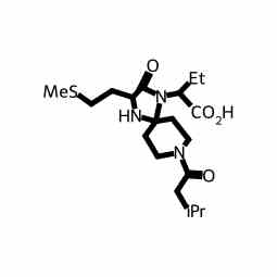 CCC(C(=O)O)N1C(=O)C(CCSC)NC12CCN(C(=O)CC(C)C)CC2